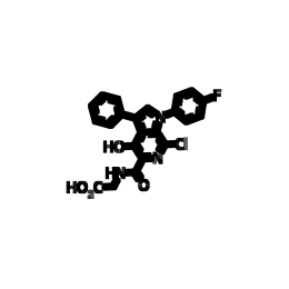 O=C(O)CNC(=O)c1nc(Cl)c2c(c(-c3ccccc3)cn2-c2ccc(F)cc2)c1O